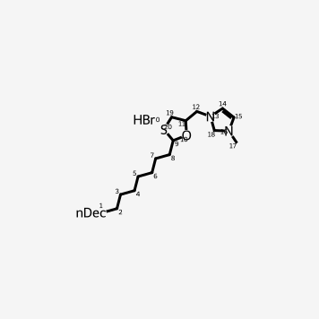 Br.CCCCCCCCCCCCCCCCCC1OC(CN2C=CN(C)C2)CS1